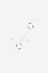 CC(C)(OCCOc1ccc(CCl)cc1)c1ccc(CCl)cc1